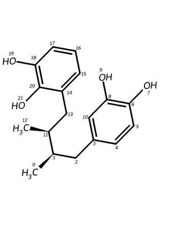 C[C@H](Cc1ccc(O)c(O)c1)[C@@H](C)Cc1cccc(O)c1O